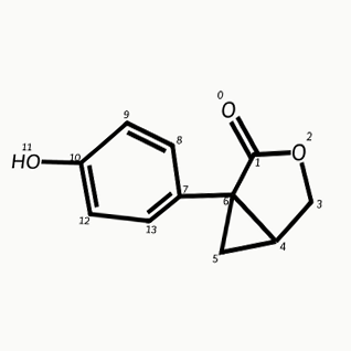 O=C1OCC2CC12c1ccc(O)cc1